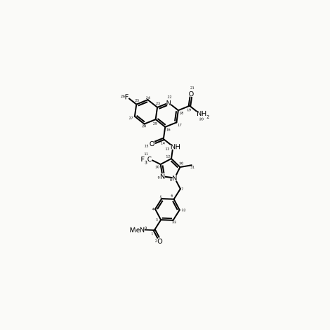 CNC(=O)c1ccc(Cn2nc(C(F)(F)F)c(NC(=O)c3cc(C(N)=O)nc4cc(F)ccc34)c2C)cc1